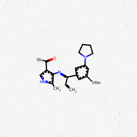 C=C/C(=N\c1c(C(=O)C(C)(C)C)c[nH]c1C)c1cc(SC)cc(N2CCCC2)c1